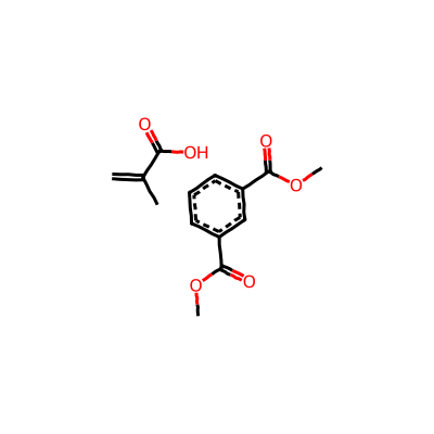 C=C(C)C(=O)O.COC(=O)c1cccc(C(=O)OC)c1